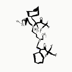 CCN(/C=C(\C(=O)C(F)(F)F)c1ccccc1)CCCN(CC)C(C)(C(=O)C(F)(F)F)c1ccccc1